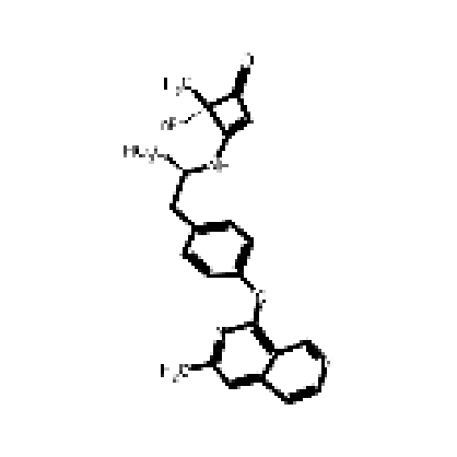 CCC[C@]1(C)C(=O)C=C1N[C@@H](Cc1ccc(Oc2nc(C)cc3ccncc23)cc1)C(=O)O